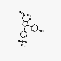 CN(C)CC1CC(c2ccc(S(C)(=O)=O)cc2)=C(c2ccc(O)cc2)C1=O